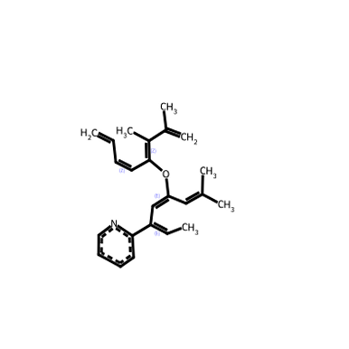 C=C/C=C\C(O/C(C=C(C)C)=C/C(=C\C)c1ccccn1)=C(/C)C(=C)C